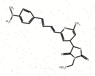 CC1=CC(C2SC(=S)N(CC(=O)O)C2=O)C=C(/C=C/C=C/c2ccc(N(C)C)cc2)O1